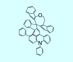 c1ccc(-c2ccc(N(c3ccccc3)c3ccccc3-c3ccc4c(c3)C3(c5ccccc5-4)c4ccc5ccccc5c4CCOc4c3ccc3ccccc43)cc2)cc1